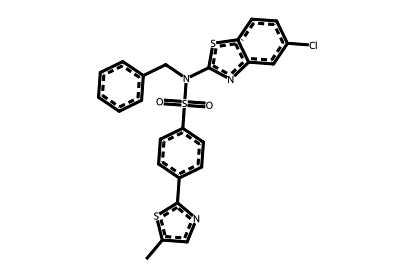 Cc1cnc(-c2ccc(S(=O)(=O)N(Cc3ccccc3)c3nc4cc(Cl)ccc4s3)cc2)s1